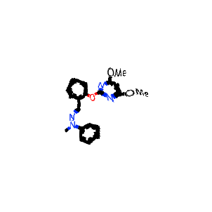 COc1cc(OC)nc(Oc2ccccc2C=NN(C)c2ccccc2)n1